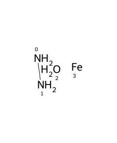 NN.O.[Fe]